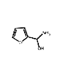 OC([SiH3])c1ccco1